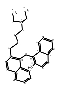 CCN(CC)CCOCc1ccc2ccccc2c1Cc1c(O)ccc2ccccc12